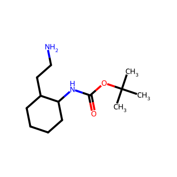 CC(C)(C)OC(=O)NC1CCCCC1CCN